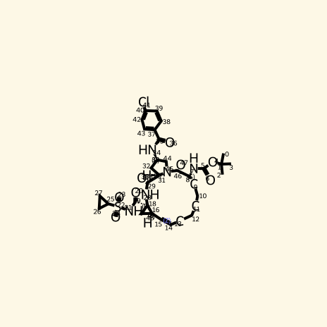 CC(C)(C)OC(=O)N[C@H]1CCCCC/C=C\[C@@H]2C[C@@]2(C(=O)NS(=O)(=O)C2CC2)NC(=O)[C@@H]2C[C@@H](NC(=O)c3ccc(Cl)cc3)CN2C1=O